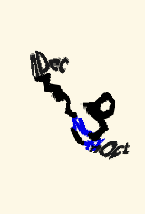 CCCCCCCCCCCCCCCCCCN1C=CN(CCCCCCCC)C1Cc1ccccc1